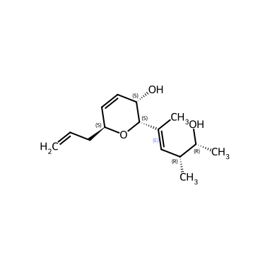 C=CC[C@H]1C=C[C@H](O)[C@H](/C(C)=C/[C@@H](C)[C@@H](C)O)O1